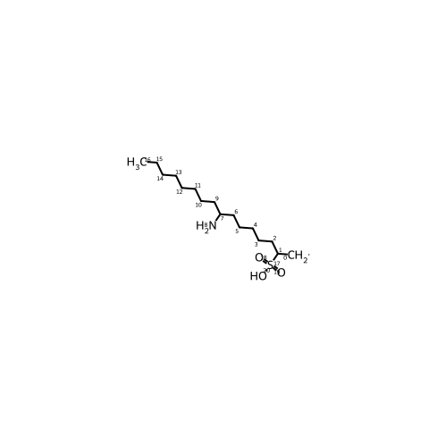 [CH2]C(CCCCCC(N)CCCCCCCC)S(=O)(=O)O